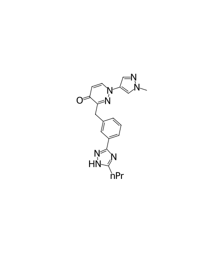 CCCc1nc(-c2cccc(Cc3nn(-c4cnn(C)c4)ccc3=O)c2)n[nH]1